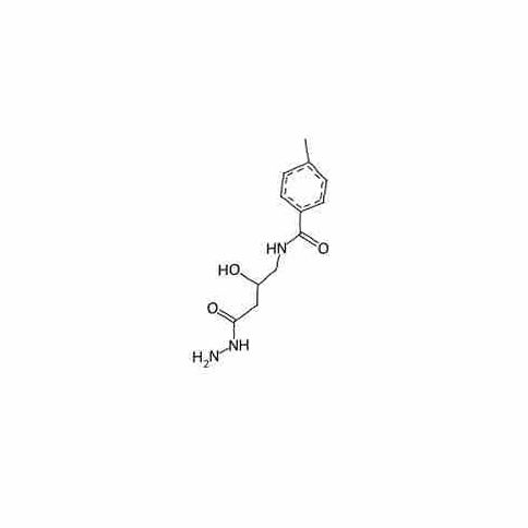 Cc1ccc(C(=O)NCC(O)CC(=O)NN)cc1